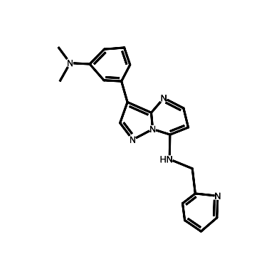 CN(C)c1cccc(-c2cnn3c(NCc4ccccn4)ccnc23)c1